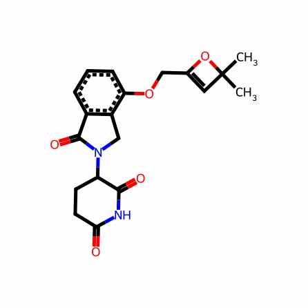 CC1(C)C=C(COc2cccc3c2CN(C2CCC(=O)NC2=O)C3=O)O1